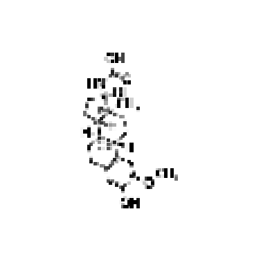 COc1cc2c(cc1O)CC[C@@H]1[C@@H]2CC[C@@]2(C)[C@H]1CC[C@@]2(O)NC(=O)O